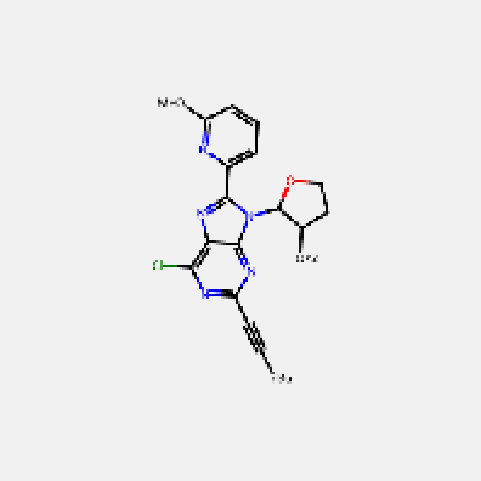 CCCCC#Cc1nc(Cl)c2nc(-c3cccc(OC)n3)n(C3OCCC3OC(C)=O)c2n1